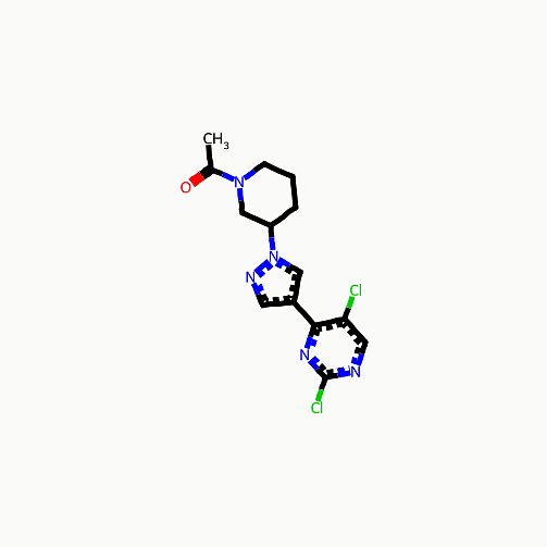 CC(=O)N1CCCC(n2cc(-c3nc(Cl)ncc3Cl)cn2)C1